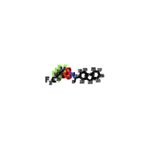 C/C(=N\OS(=O)(=O)C(F)(F)C(F)(F)C(F)(F)C(F)(F)F)c1ccc2c(c1)Cc1ccccc1-2